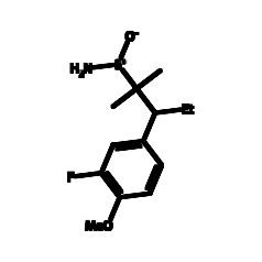 CCC(c1ccc(OC)c(F)c1)C(C)(C)[S+](N)[O-]